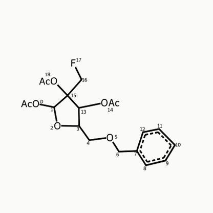 CC(=O)OC1OC(COCc2ccccc2)C(OC(C)=O)C1(CF)OC(C)=O